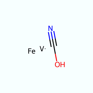 N#CO.[Fe].[V]